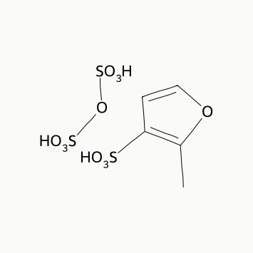 Cc1occc1S(=O)(=O)O.O=S(=O)(O)OS(=O)(=O)O